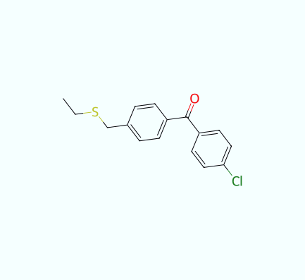 CCSCc1ccc(C(=O)c2ccc(Cl)cc2)cc1